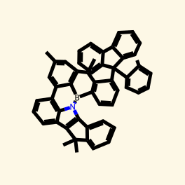 Cc1cc2c3c(c1)C(C)c1c(cccc1C1(c4ccccc4C)c4ccccc4-c4ccccc41)B3n1c3c(c4cccc-2c41)C(C)(C)c1ccccc1-3